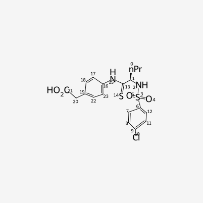 CCC[C@@H](NS(=O)(=O)c1ccc(Cl)cc1)C(=S)Nc1ccc(CC(=O)O)cc1